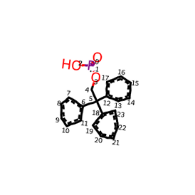 O=[P](O)OCC(c1ccccc1)(c1ccccc1)c1ccccc1